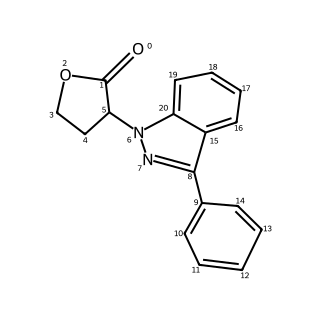 O=C1OCCC1n1nc(-c2ccccc2)c2ccccc21